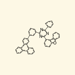 c1ccc(-c2nc(-c3cccc(-c4ccc5c6ccccc6c6ccccc6c5c4)c3)nc(-c3cccc4oc5ccccc5c34)n2)cc1